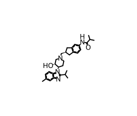 Cc1ccc2c(c1)nc(C(C)C)n2[C@@H]1CCN(C[C@@H]2Cc3ccc(NC(=O)C(C)C)cc3C2)C[C@H]1O